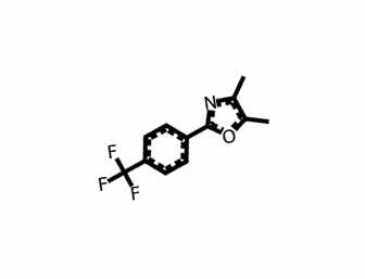 Cc1nc(-c2ccc(C(F)(F)F)cc2)oc1C